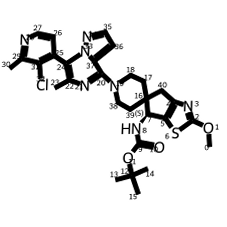 COc1nc2c(s1)[C@@H](NC(=O)OC(C)(C)C)C1(CCN(c3nc(C)c(-c4ccnc(C)c4Cl)n4nccc34)CC1)C2